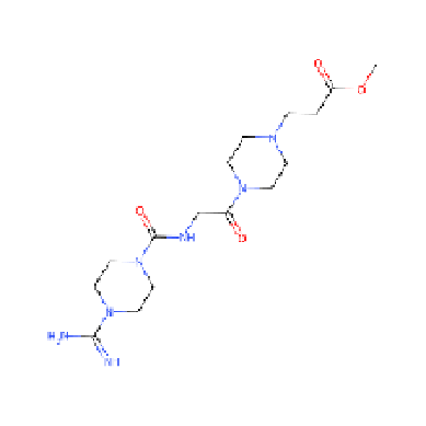 COC(=O)CCN1CCN(C(=O)CNC(=O)N2CCN(C(=N)N)CC2)CC1